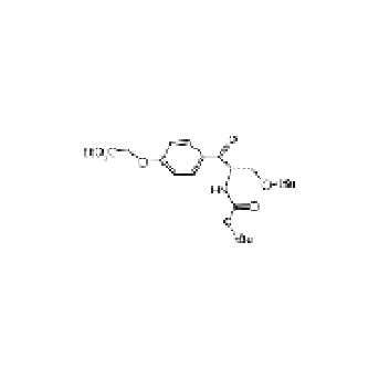 CCOC(=O)COc1ccc(C(=O)[C@H](COC(C)(C)C)NC(=O)OC(C)(C)C)cc1